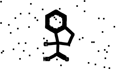 O=C(O)C1(Cl)CCc2ccccc21